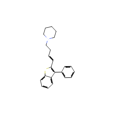 C(=C\c1sc2ccccc2c1-c1ccccc1)/CCN1CCCCC1